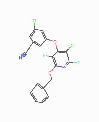 N#Cc1cc(Cl)cc(Oc2c(F)c(OCc3ccccc3)nc(F)c2Cl)c1